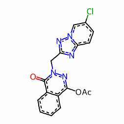 CC(=O)Oc1nn(Cc2nc3ccc(Cl)cn3n2)c(=O)c2ccccc12